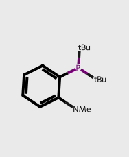 CNc1ccccc1P(C(C)(C)C)C(C)(C)C